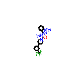 O=C(Nc1n[nH]c2ccccc12)N1CC=C(c2cccc(C(F)(F)F)c2)CC1